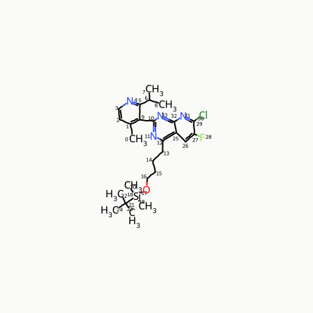 Cc1ccnc(C(C)C)c1-c1nc(CCCCO[Si](C)(C)C(C)(C)C)c2cc(F)c(Cl)nc2n1